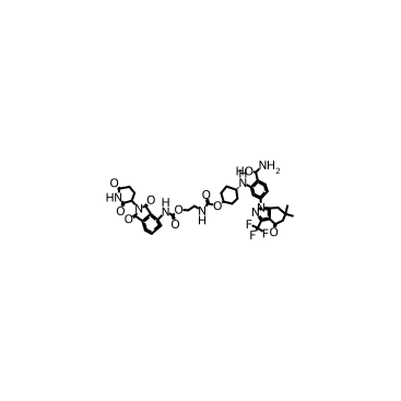 CC1(C)CC(=O)c2c(C(F)(F)F)nn(-c3ccc(C(N)O)c(N[C@H]4CC[C@H](OC(=O)NCCOC(=O)Nc5cccc6c5C(=O)N(C5CCC(=O)NC5=O)C6=O)CC4)c3)c2C1